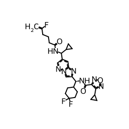 C=C(F)CCCC(=O)NC(c1cnn2cc([C@@H](NC(=O)c3nonc3C3CC3)C3CCC(F)(F)CC3)nc2c1)C1CC1